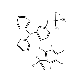 CC(C)(C)Oc1cccc([S+](c2ccccc2)c2ccccc2)c1.O=S(=O)([O-])c1c(F)c(F)c(F)c(F)c1F